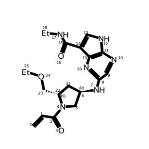 C=CC(=O)N1C[C@H](Nc2cnc3[nH]cc(C(=O)NCC)c3n2)C[C@H]1COCC